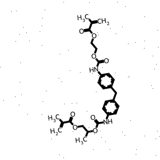 C=C(C)C(=O)OCCOC(=O)Nc1ccc(Cc2ccc(NC(=O)OC(C)COC(=O)C(=C)C)cc2)cc1